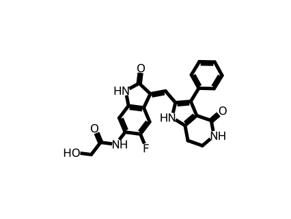 O=C(CO)Nc1cc2c(cc1F)/C(=C\c1[nH]c3c(c1-c1ccccc1)C(=O)NCC3)C(=O)N2